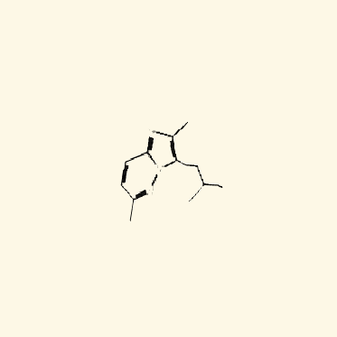 Cc1ccc2nc(C)c(CC(C)C)n2n1